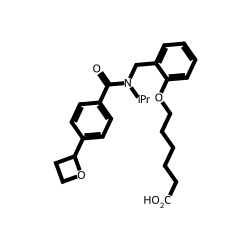 CC(C)N(Cc1ccccc1OCCCCCC(=O)O)C(=O)c1ccc(C2CCO2)cc1